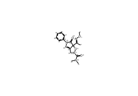 CON=C(C)C1(ONC(=O)N(C)C)C(=O)N(c2ccccc2)N=C1C